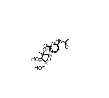 CC(=O)Nc1ccn([C@@H]2O[C@H](CO)[C@@H](O)[C@]2(C)O)c(=O)n1